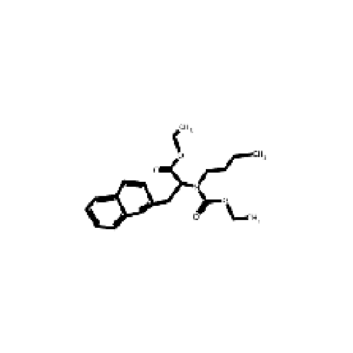 CCCCN(C(=O)OCC)C(Cc1ccc2ccccc2c1)C(=O)OCC